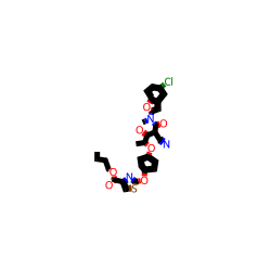 CCCCOC(=O)c1csc(Oc2ccc(OC(C)C(=O)C(C#N)C(=O)N(C)c3cc4cc(Cl)ccc4o3)cc2)n1